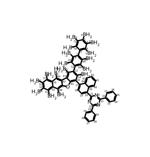 Bc1c(B)c(B)c(-c2c(B)c(B)c(-c3c(B)c(-c4ccc(-c5nc(-c6ccccc6)nc(-c6ccccc6)n5)c5ccccc45)c4oc5c(B)c6c(B)c(B)c(B)c(B)c6c(B)c5c4c3B)c(B)c2B)c(B)c1B